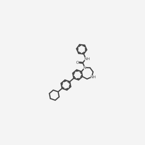 O=C(Nc1ccccc1)N1CCNCc2cc(-c3ccc(C4CCCCC4)cc3)ccc21